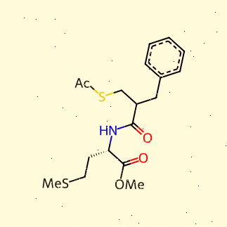 COC(=O)[C@H](CCSC)NC(=O)C(CSC(C)=O)Cc1ccccc1